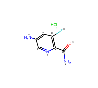 Cl.NC(=O)c1ncc(N)cc1F